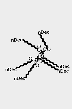 CCCCCCCCCCCCCCCCCCC(=O)OCC(COCC(COC(=O)CCCCCCCCCCCCCCCCCC)(COC(=O)CCCCCCCCCCCCCCCCCC)COC(=O)CCCCCCCCCCCCCCCCCC)(COC(=O)CCCCCCCCCCCCCCCCCC)COC(=O)CCCCCCCCCCCCCCCCCC